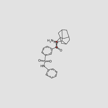 NC(=O)C12CC3CC(C1)C(NC(=O)c1cccc(S(=O)(=O)Nc4ccccc4)c1)C(C3)C2